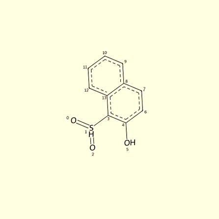 O=[SH](=O)c1c(O)c[c]c2ccccc12